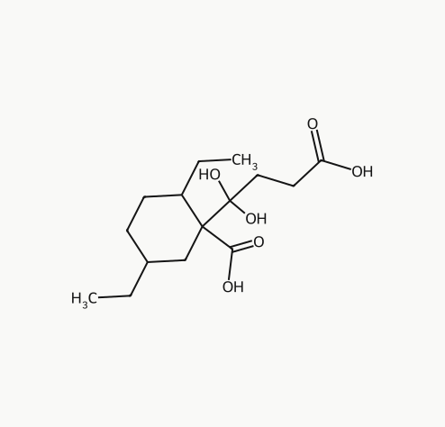 CCC1CCC(CC)C(C(=O)O)(C(O)(O)CCC(=O)O)C1